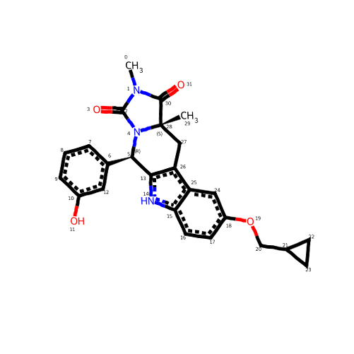 CN1C(=O)N2[C@H](c3cccc(O)c3)c3[nH]c4ccc(OCC5CC5)cc4c3C[C@@]2(C)C1=O